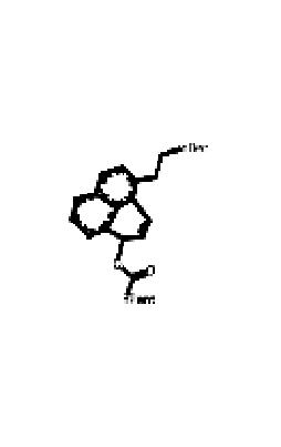 CCCCCCCCCCCCc1ccc2cccc3c2c1C=CC3OC(=O)CCCCC